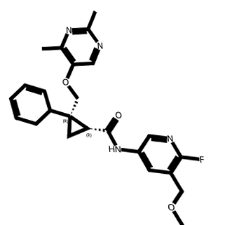 COCc1cc(NC(=O)[C@@H]2C[C@@]2(COc2cnc(C)nc2C)C2C=CC=CC2)cnc1F